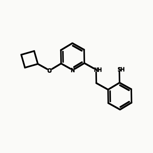 Sc1ccccc1CNc1cccc(OC2CCC2)n1